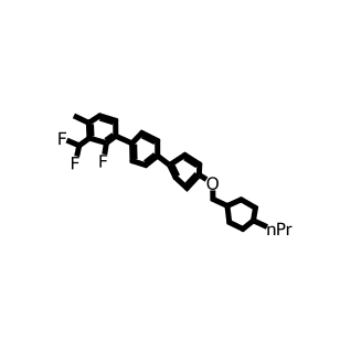 CCCC1CCC(COc2ccc(-c3ccc(-c4ccc(C)c(C(F)F)c4F)cc3)cc2)CC1